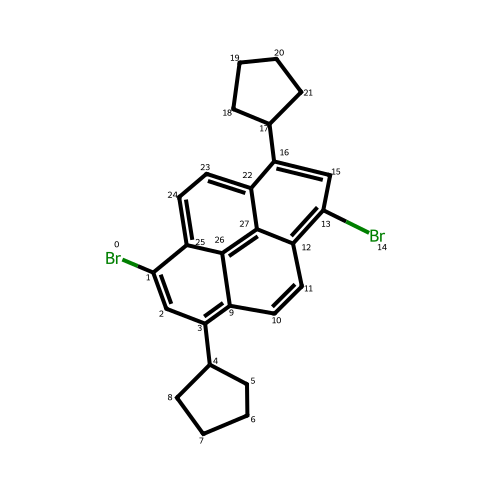 Brc1cc(C2CCCC2)c2ccc3c(Br)cc(C4CCCC4)c4ccc1c2c34